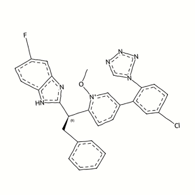 CO[n+]1cc(-c2cc(Cl)ccc2-n2cnnn2)ccc1[C@@H](Cc1ccccc1)c1nc2cc(F)ccc2[nH]1